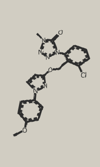 COc1ccc(-n2ccc(OCc3c(Cl)cccc3-n3nnn(C)c3=O)n2)cc1